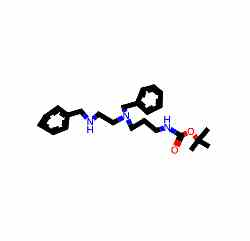 CC(C)(C)OC(=O)NCCCN(CCNCc1ccccc1)Cc1ccccc1